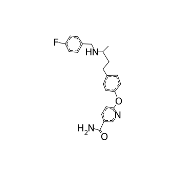 CC(CCc1ccc(Oc2ccc(C(N)=O)cn2)cc1)NCc1ccc(F)cc1